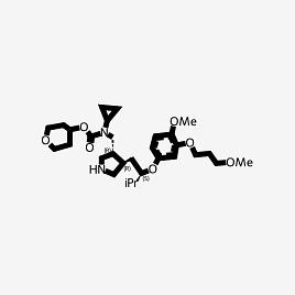 COCCCOc1cc(O[C@@H](C[C@H]2CNC[C@@H]2CN(C(=O)OC2CCOCC2)C2CC2)C(C)C)ccc1OC